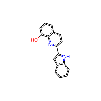 Oc1cccc2ccc(-c3cc4ccccc4[nH]3)nc12